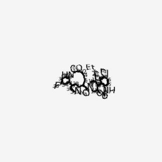 CCOC(=O)C1CCCCC(C(=O)N2CC[C@@H]3c4c(ccc(Cl)c4F)NC(=O)OC3C2)c2cc(ccn2)-c2cc(F)ccc2N1